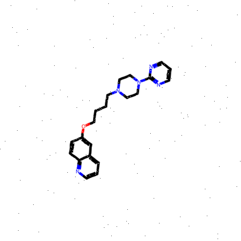 c1cnc(N2CCN(CCCCOc3ccc4ncccc4c3)CC2)nc1